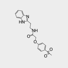 CS(=O)(=O)c1ccc(OCC(=O)NCCc2nc3ccccc3[nH]2)cc1